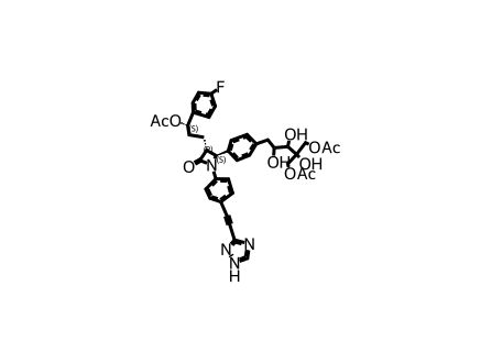 CC(=O)OCC(O)(COC(C)=O)C(O)C(O)Cc1ccc([C@@H]2[C@@H](CC[C@H](OC(C)=O)c3ccc(F)cc3)C(=O)N2c2ccc(C#Cc3nc[nH]n3)cc2)cc1